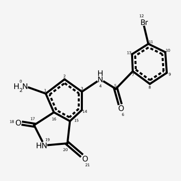 Nc1cc(NC(=O)c2cccc(Br)c2)cc2c1C(=O)NC2=O